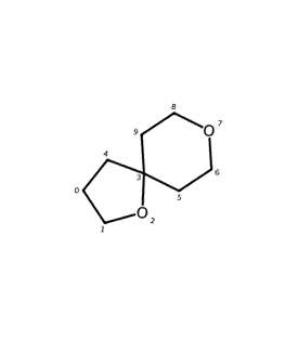 C1COC2(C1)CCOCC2